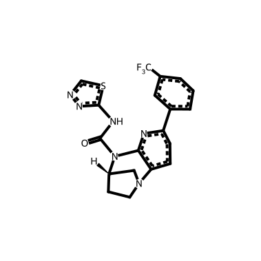 O=C(Nc1nncs1)N1c2nc(-c3cccc(C(F)(F)F)c3)ccc2N2CC[C@H]1C2